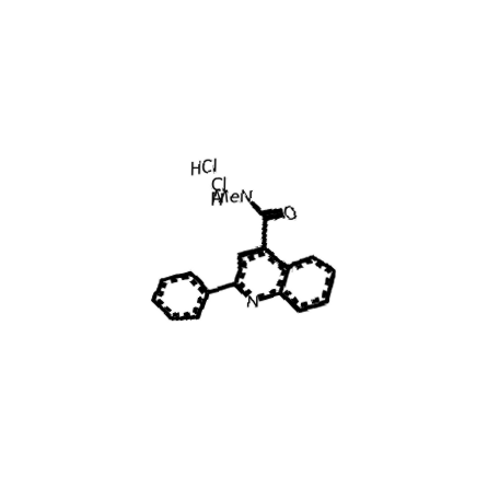 CNC(=O)c1cc(-c2ccccc2)nc2ccccc12.Cl.Cl